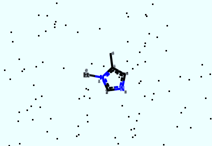 CCn1[c]n[c]c1C